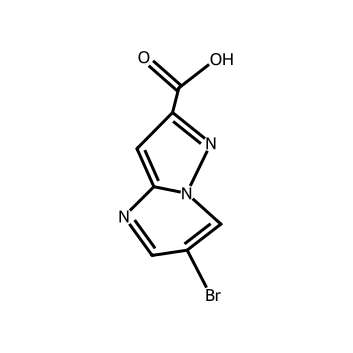 O=C(O)c1cc2ncc(Br)cn2n1